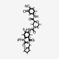 CC(C)n1c(=O)n(CC2CCCO2)c(=O)c2cc(NC(=O)N3CCOC(C(=O)Nc4ccc(C#N)c(Cl)c4)C3)c(F)cc21